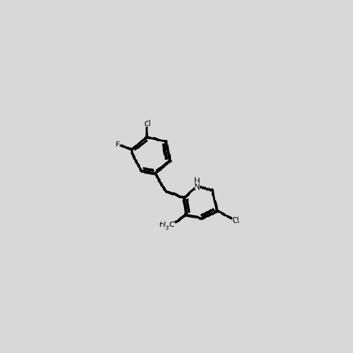 CC1=C(Cc2ccc(Cl)c(F)c2)NCC(Cl)=C1